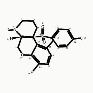 CN1CCC[C@]2(S(=O)(=O)c3ccc(Cl)cc3)c3c(F)ccc(F)c3OC[C@H]12